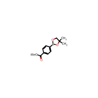 COC(=O)c1ccc(B2OCC(C)(C)O2)cc1